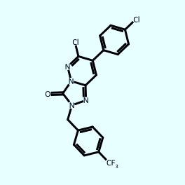 O=c1n(Cc2ccc(C(F)(F)F)cc2)nc2cc(-c3ccc(Cl)cc3)c(Cl)nn12